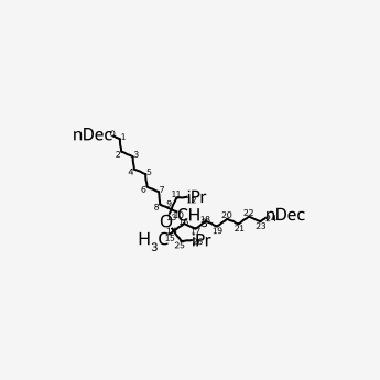 CCCCCCCCCCCCCCCCCCC(C)(CC(C)C)OC(C)(CCCCCCCCCCCCCCCCCC)CC(C)C